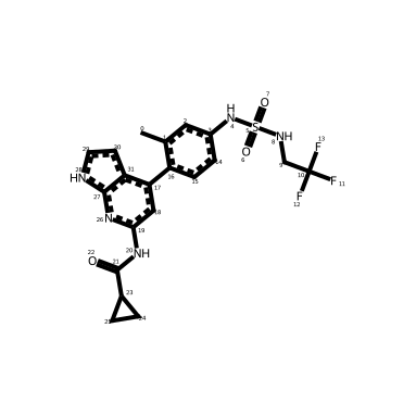 Cc1cc(NS(=O)(=O)NCC(F)(F)F)ccc1-c1cc(NC(=O)C2CC2)nc2[nH]ccc12